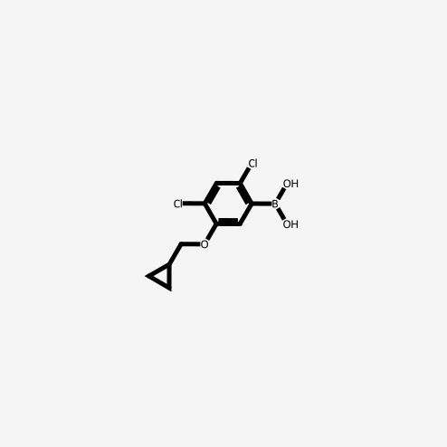 OB(O)c1cc(OCC2CC2)c(Cl)cc1Cl